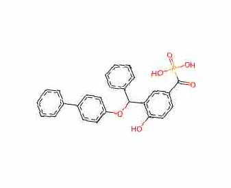 O=C(c1ccc(O)c(C(Oc2ccc(-c3ccccc3)cc2)c2ccccc2)c1)P(=O)(O)O